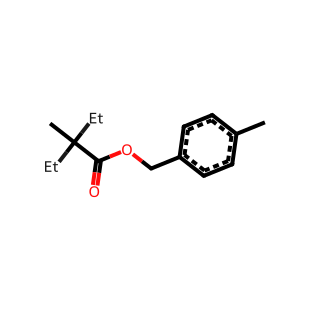 CCC(C)(CC)C(=O)OCc1ccc(C)cc1